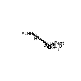 CCCC(C)N(C=O)Cc1c(C)cccc1NC(=O)CCCCCNCCOCCNC(C)=O